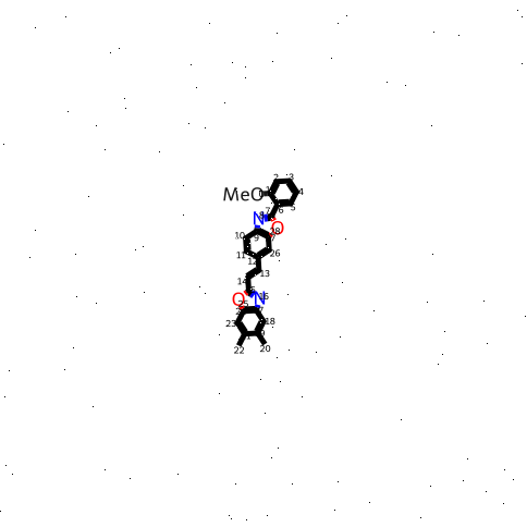 COc1ccccc1-c1nc2ccc(C=Cc3nc4cc(C)c(C)cc4o3)cc2o1